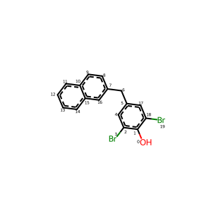 Oc1c(Br)cc(Cc2ccc3ccccc3c2)cc1Br